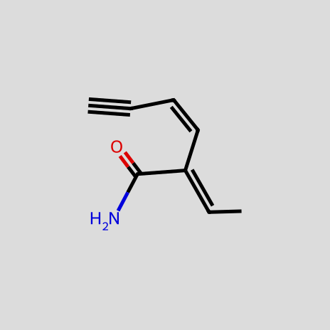 C#C/C=C\C(=C/C)C(N)=O